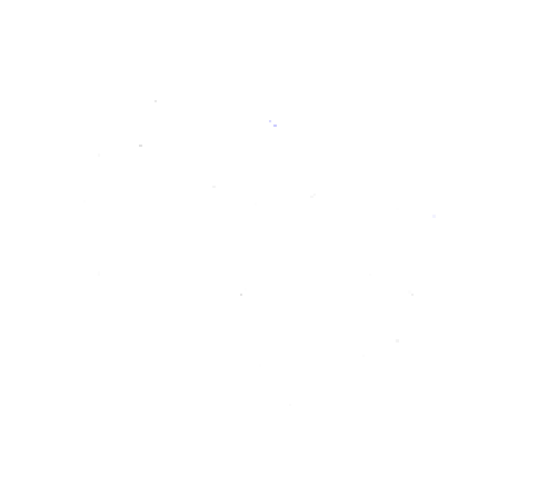 Nc1ccc2ccc3cccc4ccc1c2c34.Nc1ccc2ccc3cccc4ccc1c2c34